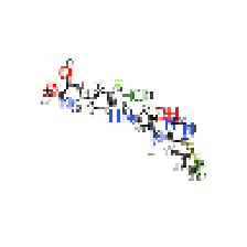 COc1cc(-c2ccc(CN[C@H]3C[C@@H](O)[C@@H](N(C)c4ncnc5sc(CC(F)(F)F)cc45)C3)c(F)c2)cnc1OC.Cl